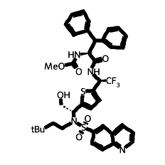 COC(=O)N[C@H](C(=O)N[C@H](c1ccc([C@@H](CO)N(CCC(C)(C)C)S(=O)(=O)c2ccc3ncccc3c2)s1)C(F)(F)F)C(c1ccccc1)c1ccccc1